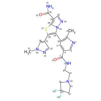 Cc1ncc(C(=O)NCCN2CCC(F)(F)C2)cc1-c1c(-c2cnn(C)c2)sc2c(C(N)=O)cnn12